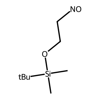 CC(C)(C)[Si](C)(C)OCCN=O